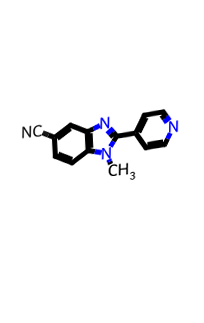 Cn1c(-c2ccncc2)nc2cc(C#N)ccc21